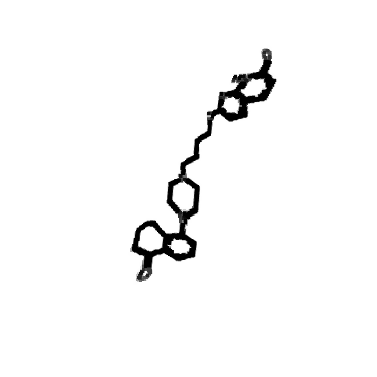 O=C1CCCc2c1cccc2N1CCN(CCCCOc2ccc3ccc(=O)[nH]c3n2)CC1